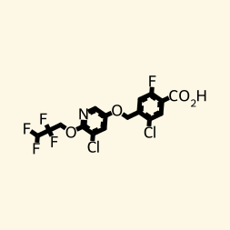 O=C(O)c1cc(Cl)c(COc2cnc(OCC(F)(F)C(F)F)c(Cl)c2)cc1F